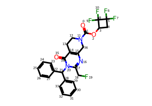 O=C(OC1CC(F)(F)C1(F)F)N1CCc2c(nc(CF)n(C(c3ccccc3)c3ccccc3)c2=O)C1